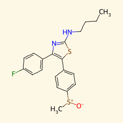 CCCCNc1nc(-c2ccc(F)cc2)c(-c2ccc([S+](C)[O-])cc2)s1